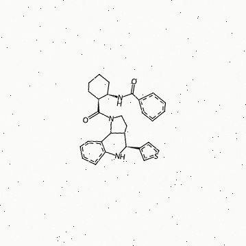 O=C(N[C@@H]1CCCC[C@@H]1C(=O)N1CCC2C1c1ccccc1N[C@@H]2c1ccsc1)c1ccccc1